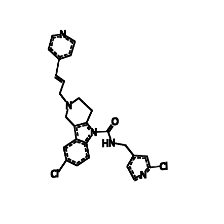 O=C(NCc1ccnc(Cl)c1)n1c2c(c3cc(Cl)ccc31)CN(C/C=C/c1ccncc1)CC2